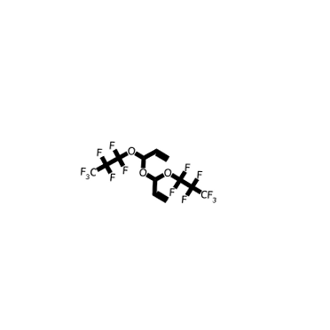 C=CC(OC(C=C)OC(F)(F)C(F)(F)C(F)(F)F)OC(F)(F)C(F)(F)C(F)(F)F